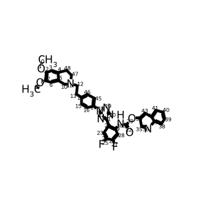 COc1cc2c(cc1OC)CN(CCc1ccc(-n3nnc(-c4cc(F)c(F)cc4NC(=O)Oc4cnc5ccccc5c4)n3)cc1)CC2